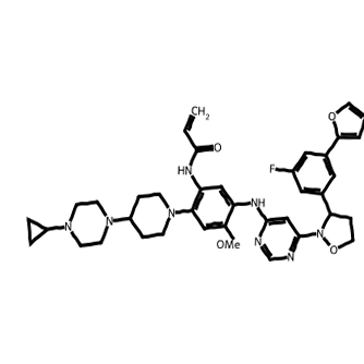 C=CC(=O)Nc1cc(Nc2cc(N3OCCC3c3cc(F)cc(-c4ccco4)c3)ncn2)c(OC)cc1N1CCC(N2CCN(C3CC3)CC2)CC1